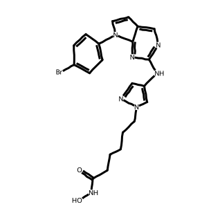 O=C(CCCCCn1cc(Nc2ncc3ccn(-c4ccc(Br)cc4)c3n2)cn1)NO